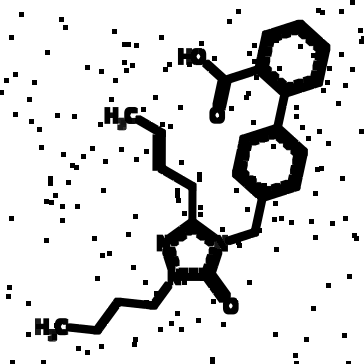 CC=CCc1nn(CCCC)c(=O)n1Cc1ccc(-c2ccccc2C(=O)O)cc1